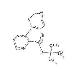 CC(C)(C)OC(=O)c1ncccc1C1=CC=CCS1